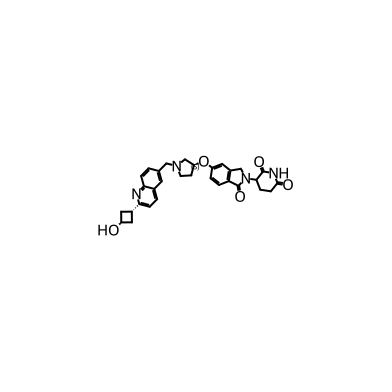 O=C1CCC(N2Cc3cc(O[C@H]4CCN(Cc5ccc6nc([C@H]7C[C@H](O)C7)ccc6c5)C4)ccc3C2=O)C(=O)N1